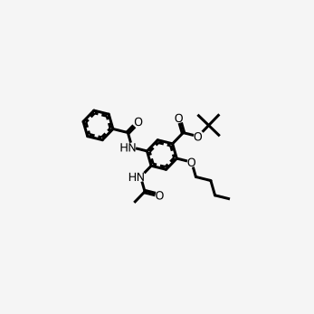 CCCCOc1cc(NC(C)=O)c(NC(=O)c2ccccc2)cc1C(=O)OC(C)(C)C